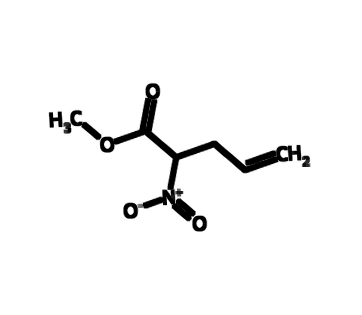 C=CCC(C(=O)OC)[N+](=O)[O-]